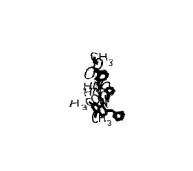 CCOC(=O)c1cccc(NC(=O)NCC(=O)N(Cc2ccccc2)C2c3cc(C)cc(C)c3CCC2Cc2ccccc2)c1